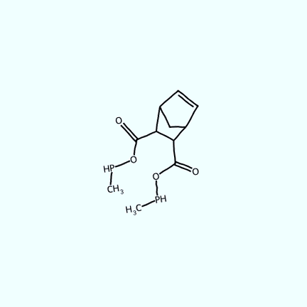 CPOC(=O)C1C2C=CC(C2)C1C(=O)OPC